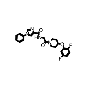 O=C(NCC(=O)N1CCC(Oc2cc(F)ccc2F)CC1)c1cn(-c2ccccc2)cn1